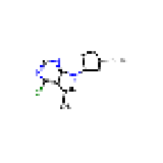 Cc1cn(C2CCC(C=O)C2)c2ncnc(Cl)c12